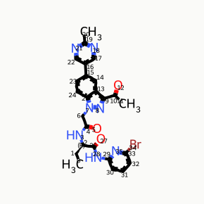 CC[C@@H](NC(=O)Cn1nc(C(C)=O)c2cc(-c3cnc(C)nc3)ccc21)C(=O)Nc1cccc(Br)n1